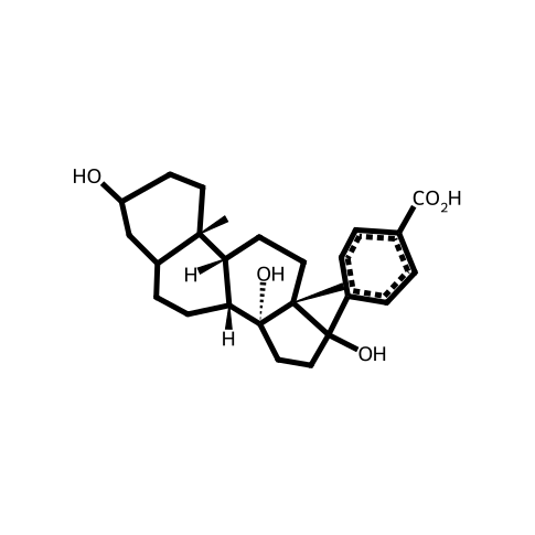 C[C@]12CCC(O)CC1CC[C@@H]1[C@H]2CC[C@]2(C)C(O)(c3ccc(C(=O)O)cc3)CC[C@@]12O